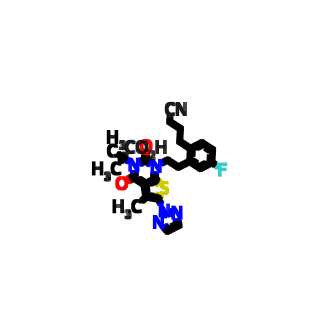 Cc1c(-n2nccn2)sc2c1c(=O)n(C(C)(C)C(=O)O)c(=O)n2CCc1cc(F)ccc1CCCC#N